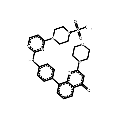 CS(=O)(=O)N1CCN(c2ccnc(Nc3ccc(-c4cccc5c(=O)cc(N6CCOCC6)oc45)cc3)n2)CC1